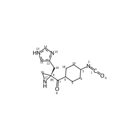 O=C=NC1CCC(C(=O)[C@@]2(Cc3c[nH]cn3)CN2)CC1